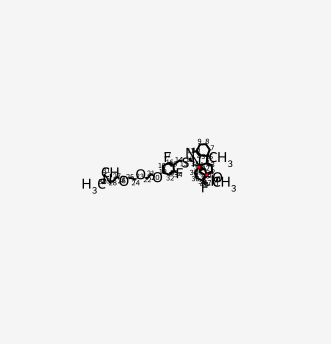 COc1cc(C2(C)CCCc3nc(SCc4c(F)cc(OCCOCCOCCN(C)C)cc4F)n(-c4ccc(F)cc4)c32)ccc1Cl